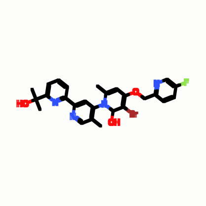 CC1=CC(OCc2ccc(F)cn2)=C(Br)C(O)N1c1cc(-c2cccc(C(C)(C)O)n2)ncc1C